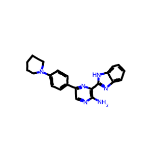 Nc1ncc(-c2ccc(N3CCCCC3)cc2)nc1-c1nc2ccccc2[nH]1